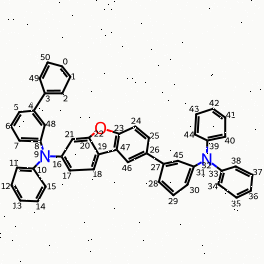 c1ccc(-c2cccc(N(c3ccccc3)c3ccc4c(c3)oc3ccc(-c5cccc(N(c6ccccc6)c6ccccc6)c5)cc34)c2)cc1